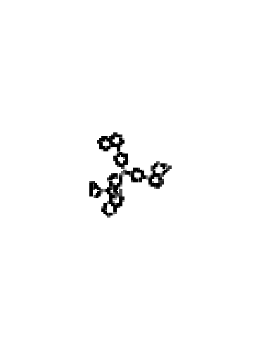 C1=Cc2c(ccn3c2c(C2=CC=C4CC42)c2ccc(C(c4ccc(-c5cccc6c5C=CC5CC65)cc4)c4ccc(-c5cccc6ccccc56)cc4)cc23)CC1